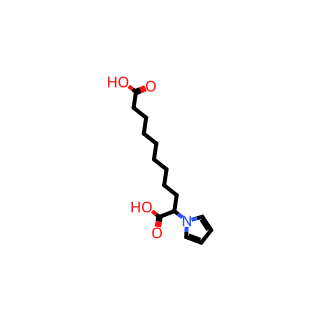 O=C(O)CCCCCCCCC(C(=O)O)n1cccc1